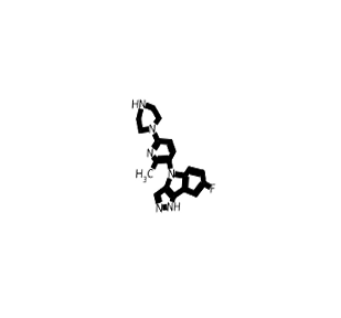 Cc1nc(N2CCNCC2)ccc1-n1c2ccc(F)cc2c2[nH]ncc21